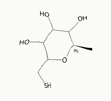 C[C@H]1OC(CS)C(O)C(O)C1O